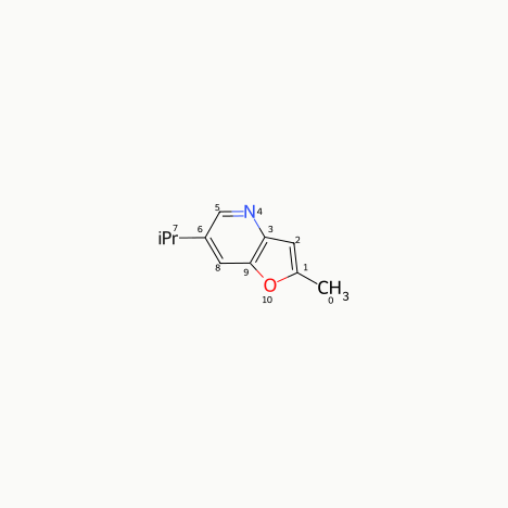 Cc1cc2ncc(C(C)C)cc2o1